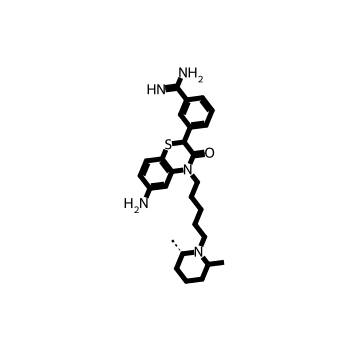 CC1CCC[C@H](C)N1CCCCCN1C(=O)C(c2cccc(C(=N)N)c2)Sc2ccc(N)cc21